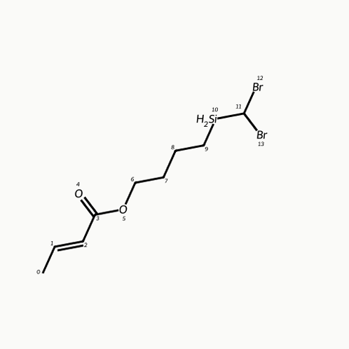 CC=CC(=O)OCCCC[SiH2]C(Br)Br